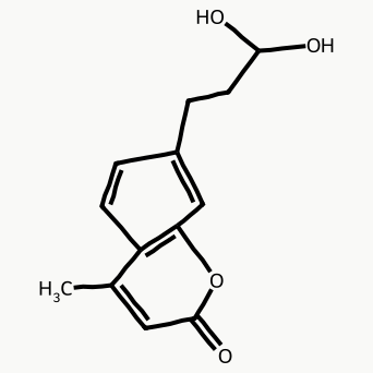 Cc1cc(=O)oc2cc(CCC(O)O)ccc12